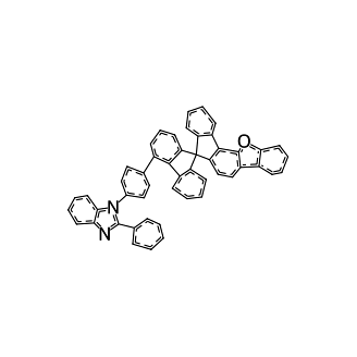 c1ccc(-c2nc3ccccc3n2-c2ccc(-c3cccc4c3-c3ccccc3C43c4ccccc4-c4c3ccc3c4oc4ccccc43)cc2)cc1